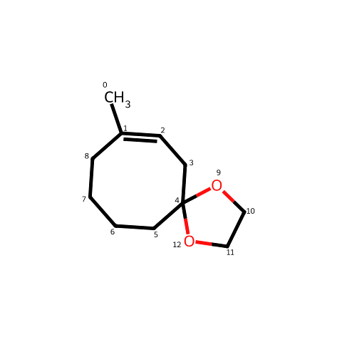 CC1=CCC2(CCCC1)OCCO2